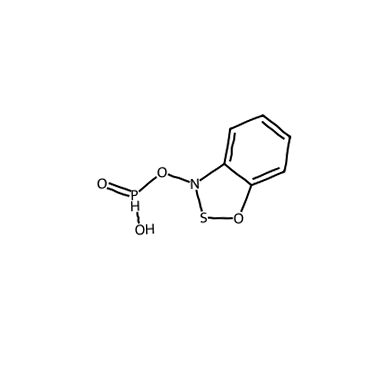 O=[PH](O)ON1SOc2ccccc21